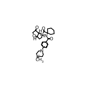 CN1CCN(c2ccc(C(=O)NC3(C(=O)N4CC[C@H]5OCC(=O)[C@H]54)CCCCC3)cc2)CC1